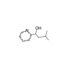 CC(C)CC(O)c1ccccn1